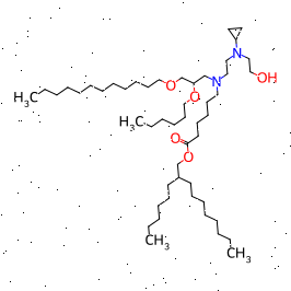 CCCCCCCCCCCCOCC(CN(CCCCCC(=O)OCC(CCCCCC)CCCCCCCC)CCN(CCO)C1CC1)OCCCCCC